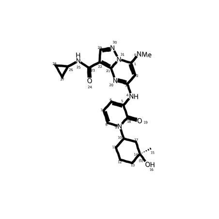 CNc1cc(Nc2cccn(C3CCC[C@](C)(O)C3)c2=O)nc2c(C(=O)NC3CC3)cnn12